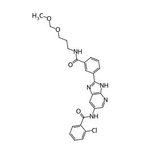 COCOCCCNC(=O)c1cccc(-c2nc3cc(NC(=O)c4ccccc4Cl)cnc3[nH]2)c1